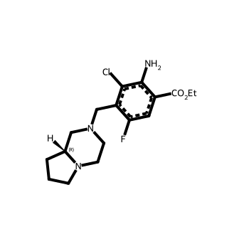 CCOC(=O)c1cc(F)c(CN2CCN3CCC[C@@H]3C2)c(Cl)c1N